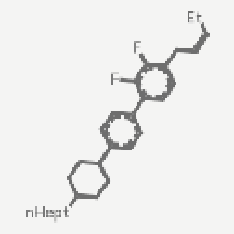 CC/C=C\Cc1ccc(-c2ccc(C3CCC(CCCCCCC)CC3)cc2)c(F)c1F